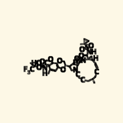 CC1=CC2=C(OC[C@@H](C3C[C@H]4C(=O)N[C@]5(C(=O)NS(=O)(=O)C6(C)CC6)C[C@H]5/C=C\CC[C@@H](C)CCCCN4C3)O2)C(=O)[C@]1(NC(=O)OC(C)(C)C(F)(F)F)C(=O)O